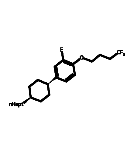 CCCCCCC[C@H]1CC[C@H](c2ccc(OCCCC(F)(F)F)c(F)c2)CC1